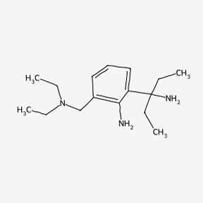 CCN(CC)Cc1cccc(C(N)(CC)CC)c1N